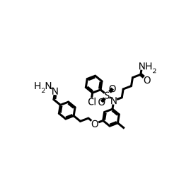 Cc1cc(OCCc2ccc(C=NN)cc2)cc(N(CCCCC(N)=O)S(=O)(=O)c2ccccc2Cl)c1